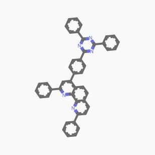 c1ccc(-c2ccc3ccc4c(-c5ccc(-c6nc(-c7ccccc7)nc(-c7ccccc7)n6)cc5)cc(-c5ccccc5)nc4c3n2)cc1